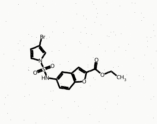 CCOC(=O)c1cc2cc(NS(=O)(=O)n3ccc(Br)c3)ccc2o1